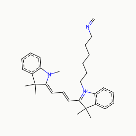 C=NCCCCCC[N+]1=C(/C=C/C=C2\N(C)c3ccccc3C2(C)C)C(C)(C)c2ccccc21